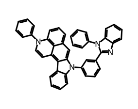 C1=CN(c2ccccc2)c2cccc3cc4c(c1c23)c1ccccc1n4-c1cccc(-c2nc3ccccc3n2-c2ccccc2)c1